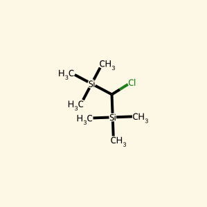 C[Si](C)(C)C(Cl)[Si](C)(C)C